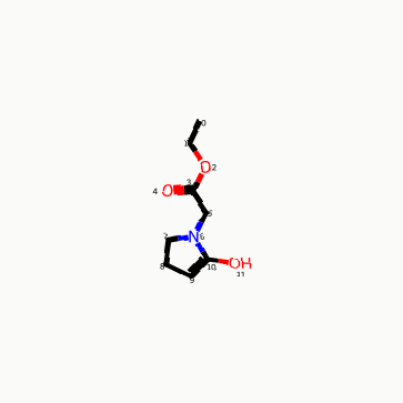 CCOC(=O)CN1CCC=C1O